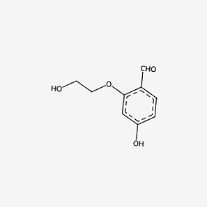 O=Cc1ccc(O)cc1OCCO